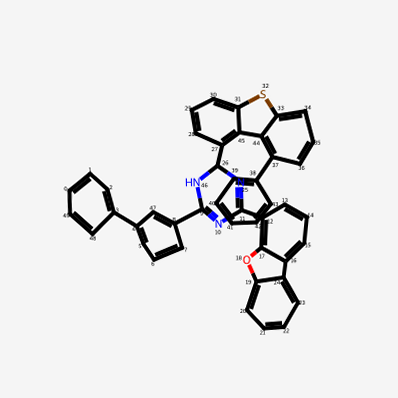 c1ccc(-c2cccc(C3=NC(c4cccc5c4oc4ccccc45)=NC(c4cccc5sc6cccc(-c7ccccc7)c6c45)N3)c2)cc1